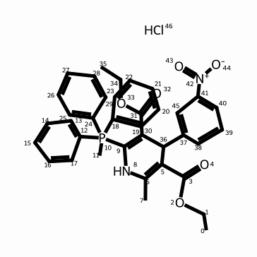 CCOC(=O)C1=C(C)NC(P(C)(c2ccccc2)(c2ccccc2)c2ccccc2)=C(C(=O)OCC)C1c1cccc([N+](=O)[O-])c1.Cl